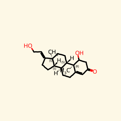 C[C@]12CC[C@H]3[C@@H](CCC4=CC(=O)CC(O)[C@@]43C)[C@@H]1CCC2=CCO